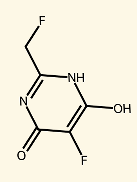 O=c1nc(CF)[nH]c(O)c1F